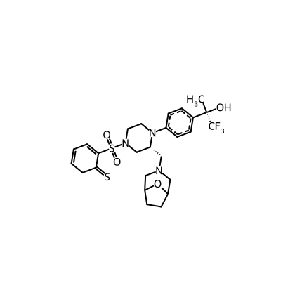 C[C@@](O)(c1ccc(N2CCN(S(=O)(=O)C3=CC=CCC3=S)C[C@H]2CN2CC3CCC(C2)O3)cc1)C(F)(F)F